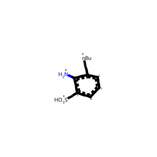 CCCCc1cccc(S(=O)(=O)O)c1N